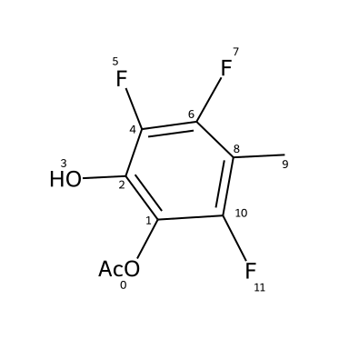 CC(=O)Oc1c(O)c(F)c(F)c(C)c1F